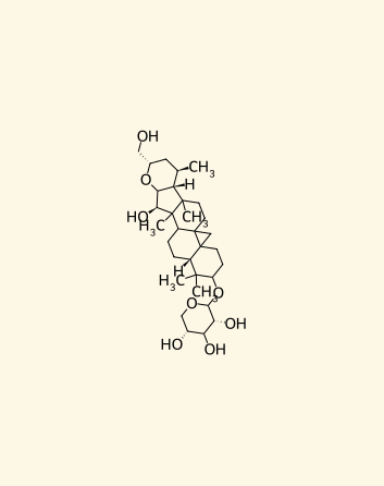 C[C@@H]1C[C@@H](CO)OC2[C@H]1C1(C)CCC34CC35CCC(OC3OC[C@@H](O)C(O)[C@H]3O)C(C)(C)[C@@H]5CCC4C1(C)[C@H]2O